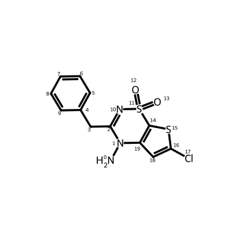 NN1C(Cc2ccccc2)=NS(=O)(=O)c2sc(Cl)cc21